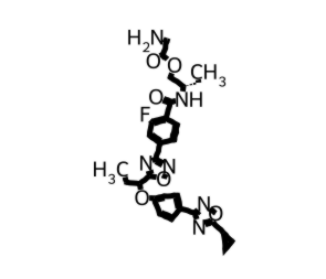 CCC(Oc1ccc(-c2noc(C3CC3)n2)cc1)c1nc(-c2ccc(C(=O)N[C@@H](CC)COC(=O)CN)c(F)c2)no1